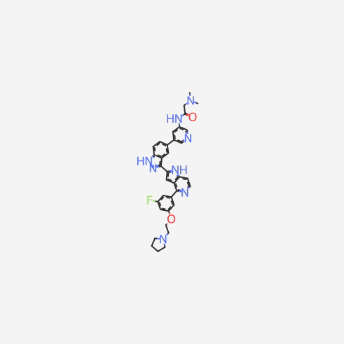 CN(C)CC(=O)Nc1cncc(-c2ccc3[nH]nc(-c4cc5c(-c6cc(F)cc(OCCN7CCCC7)c6)nccc5[nH]4)c3c2)c1